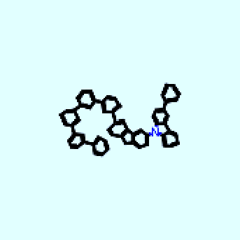 c1ccc(-c2cccc(-c3cccc(-c4cccc(-c5cccc(-c6ccc7c(c6)-c6cc(-n8c9ccccc9c9cc(-c%10ccccc%10)ccc98)ccc6C7)c5)c4)c3)c2)cc1